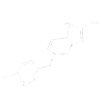 CNc1nc2c([nH]1)C=CN(Cc1ccc(F)cc1)C2